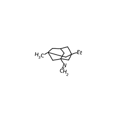 C=NC12CC3CC(C)(CC(CC)(C3)C1)C2